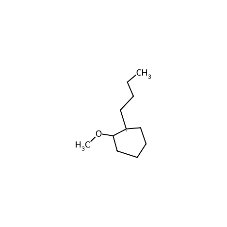 CCCC[C]1CCCCC1OC